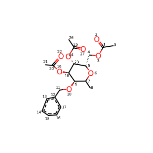 CC(=O)OC[C@@H]1OC(C)[C@@H](OCc2ccccc2)[C@@H](OC(C)=O)[C@@H]1OC(C)=O